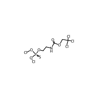 O=C(NCCOP(=S)(OCl)OCl)OCC(Cl)(Cl)Cl